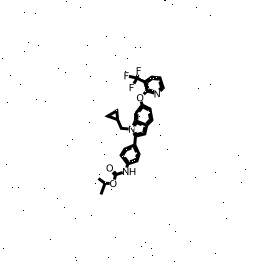 CC(C)OC(=O)Nc1ccc(-c2cc3ccc(Oc4ncccc4C(F)(F)F)cc3n2CC2CC2)cc1